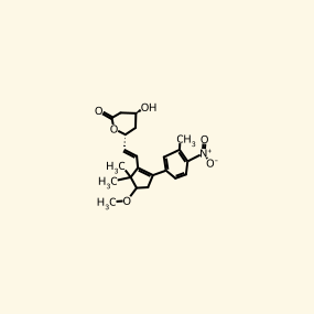 COC1CC(c2ccc([N+](=O)[O-])c(C)c2)=C(C=C[C@H]2C[C@H](O)CC(=O)O2)C1(C)C